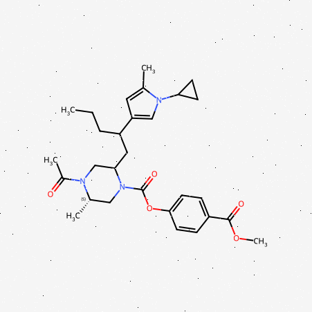 CCCC(CC1CN(C(C)=O)[C@@H](C)CN1C(=O)Oc1ccc(C(=O)OC)cc1)c1cc(C)n(C2CC2)c1